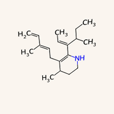 C=C/C(C)=C/CC1=C(/C(=C/C)C(C)CC)NCCC1C